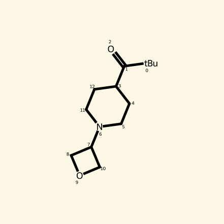 CC(C)(C)C(=O)C1CCN(C2COC2)CC1